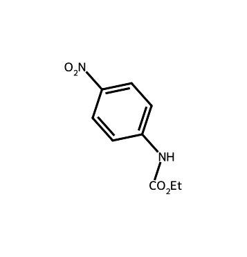 CCOC(=O)Nc1ccc([N+](=O)[O-])cc1